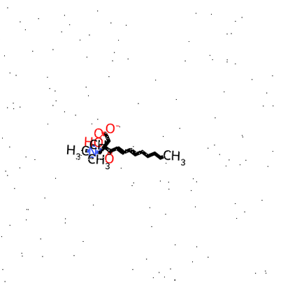 CCCCCC=CC=CC(=O)C(O)(CC(=O)[O-])C[N+](C)(C)C